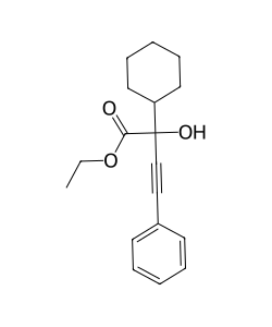 CCOC(=O)C(O)(C#Cc1ccccc1)C1CCCCC1